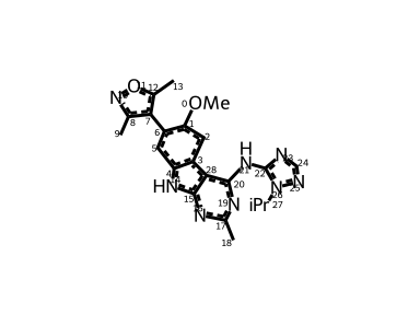 COc1cc2c(cc1-c1c(C)noc1C)[nH]c1nc(C)nc(Nc3ncnn3C(C)C)c12